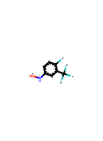 ONc1ccc(F)c(C(F)(F)F)c1